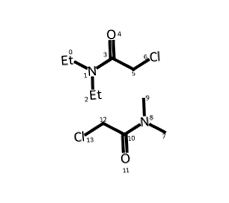 CCN(CC)C(=O)CCl.CN(C)C(=O)CCl